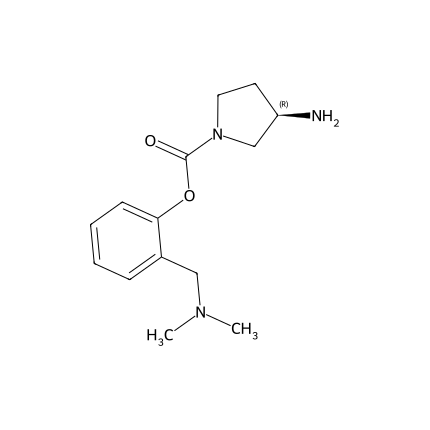 CN(C)Cc1ccccc1OC(=O)N1CC[C@@H](N)C1